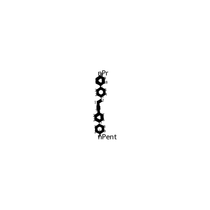 CCCCC[C@H]1CC[C@H](c2ccc(C#CC=C[C@H]3CC[C@H](c4ccc(CCC)cc4)CC3)cc2)CC1